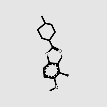 COc1ccc(OC(=O)C2CCC(C)CC2)c(F)c1F